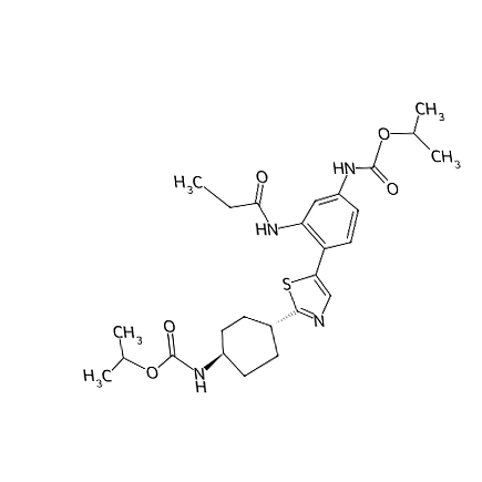 CCC(=O)Nc1cc(NC(=O)OC(C)C)ccc1-c1cnc([C@H]2CC[C@H](NC(=O)OC(C)C)CC2)s1